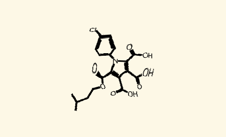 CC(C)CCOC(=O)c1c(C(=O)O)c(C(=O)O)c(C(=O)O)n1-c1ccc(Cl)cc1